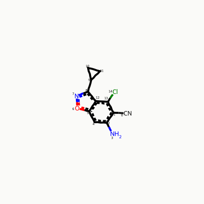 N#Cc1c(N)cc2onc(C3CC3)c2c1Cl